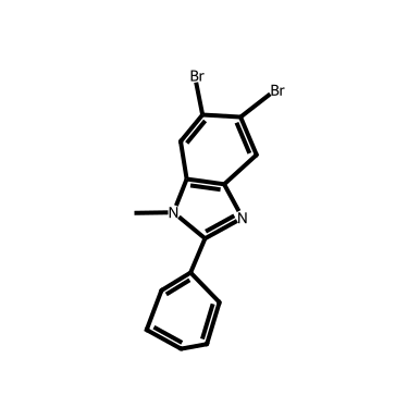 Cn1c(-c2ccccc2)nc2cc(Br)c(Br)cc21